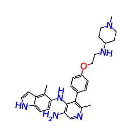 Cc1ncc(N)c(Nc2ccc3[nH]ccc3c2C)c1-c1ccc(OCCNC2CCN(C)CC2)cc1